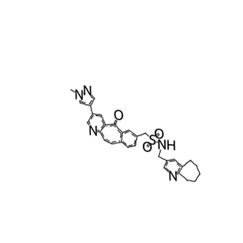 Cn1cc(-c2cnc3ccc4ccc(CS(=O)(=O)NCc5cnc6c(c5)CCCCC6)cc4c(=O)c3c2)cn1